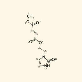 COC(=O)/C=C/C(=O)OCCn1cc[nH]c1=O